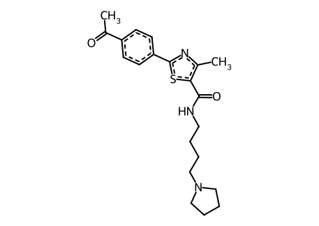 CC(=O)c1ccc(-c2nc(C)c(C(=O)NCCCCN3CCCC3)s2)cc1